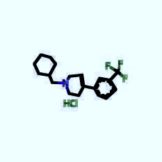 Cl.FC(F)(F)c1cccc(C2=CCN(CC3CCCCC3)CC2)c1